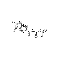 C=c1c(C)nn2nc(C(C)NC(=O)CC(C)C)nc12